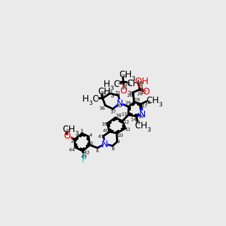 COc1ccc(CN2CCc3cc(-c4c(C)nc(C)c([C@H](OC(C)(C)C)C(=O)O)c4N4CCC(C)(C)CC4)ccc3C2)c(F)c1